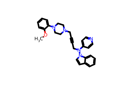 COc1ccccc1N1CCN(CC#CCN(c2ccncc2)n2ccc3ccccc32)CC1